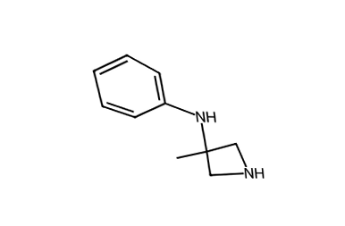 CC1(Nc2ccccc2)CNC1